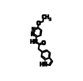 CCOc1ccc(NC(=O)Cc2ccc3cc[nH]c3c2)nn1